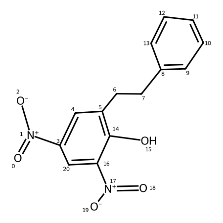 O=[N+]([O-])c1cc(CCc2ccccc2)c(O)c([N+](=O)[O-])c1